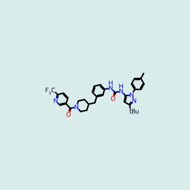 Cc1ccc(-n2nc(C(C)(C)C)cc2NC(=O)Nc2cccc(CC3CCN(C(=O)c4ccc(C(F)(F)F)nc4)CC3)c2)cc1